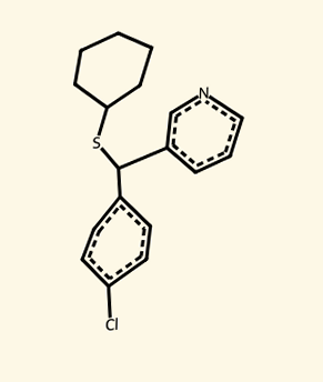 Clc1ccc(C(SC2CCCCC2)c2cccnc2)cc1